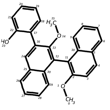 COc1ccc2ccccc2c1-c1c(OC)c(-c2ccccc2O)cc2ccccc12